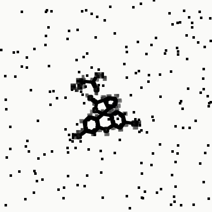 NNC(N)=O.O=C1OC2(c3ccc(O)cc3Oc3cc(O)ccc32)c2ccccc21